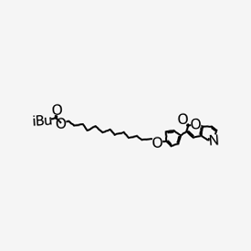 CCC(C)C(=O)OCCCCCCCCCCCCCOc1ccc(-c2cc3cnccc3oc2=O)cc1